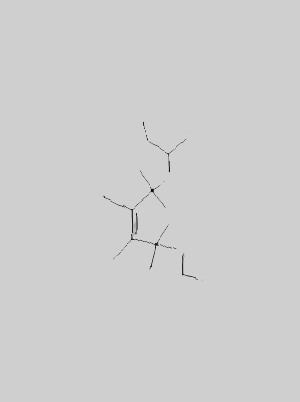 [2H]COC(C)(C)/C(C)=C(/C)C(C)(C)OC([2H])C[2H]